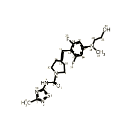 Cc1nsc(NC(=O)N2CCC(=Cc3c(F)cc(N(C)CCO)cc3F)CC2)n1